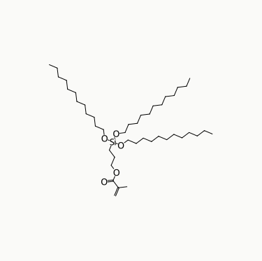 C=C(C)C(=O)OCCC[Si](OCCCCCCCCCCCC)(OCCCCCCCCCCCC)OCCCCCCCCCCCC